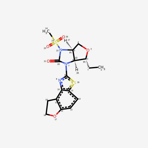 CC[C@H]1OC[C@H]2[C@@H]1N(c1nc3c4c(ccc3s1)OCC4)C(=O)N2S(C)(=O)=O